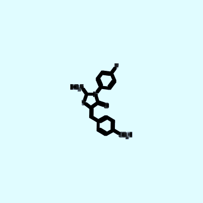 O=C(O)c1ccc(C=C2SC(S(=O)(=O)O)N(c3ccc(F)cc3)C2=O)cc1